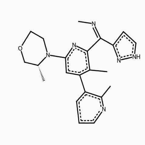 C/N=C(/c1cc[nH]n1)c1nc(N2CCOC[C@H]2C)cc(-c2cccnc2C)c1C